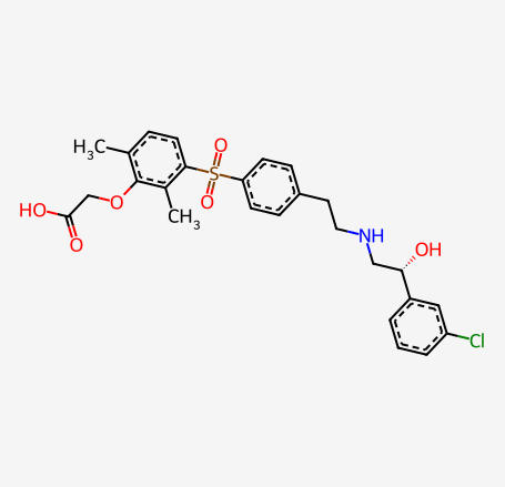 Cc1ccc(S(=O)(=O)c2ccc(CCNC[C@H](O)c3cccc(Cl)c3)cc2)c(C)c1OCC(=O)O